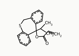 C=CC(=O)OC1(C(C)C)c2ccccc2CSc2ccccc21